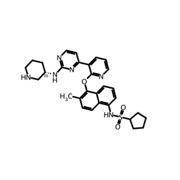 Cc1ccc2c(NS(=O)(=O)C3CCCC3)cccc2c1Oc1ncccc1-c1ccnc(N[C@H]2CCCNC2)n1